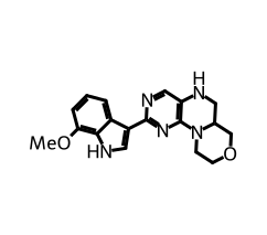 COc1cccc2c(-c3ncc4c(n3)N3CCOCC3CN4)c[nH]c12